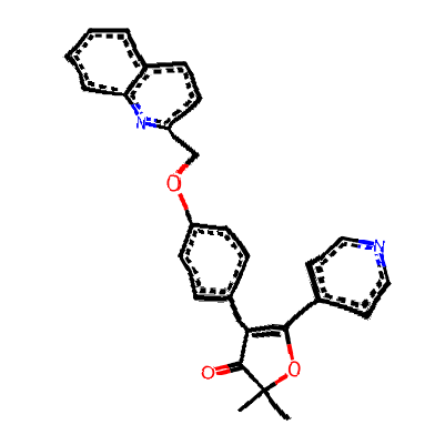 CC1(C)OC(c2ccncc2)=C(c2ccc(OCc3ccc4ccccc4n3)cc2)C1=O